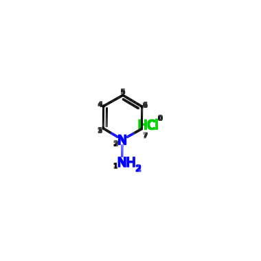 Cl.NN1C=CC=CC1